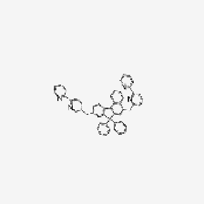 c1ccc(C2(c3ccccc3)c3cc(Cc4ccc(-c5ccccn5)nc4)ccc3-c3c2cc(Cc2cccc(-c4ccccn4)n2)c2ccccc32)cc1